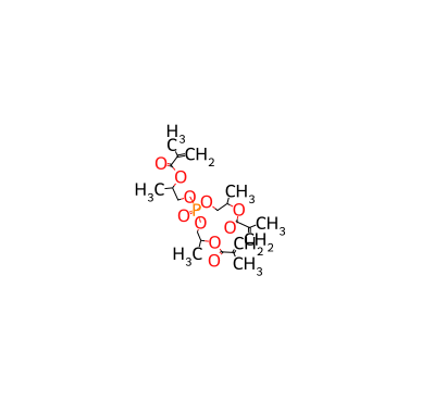 C=C(C)C(=O)OC(C)COP(=O)(OCC(C)OC(=O)C(=C)C)OCC(C)OC(=O)C(=C)C